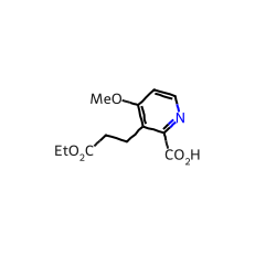 CCOC(=O)CCc1c(OC)ccnc1C(=O)O